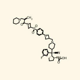 C=C(CN1CCCCC1)C(=O)N1CC(S(=O)(=O)c2ccc(N3CC(CN4CCC([C@@](C#N)(c5cccc(F)c5)[C@H]5CCC[C@@H]5NC(=O)O)CC4)C3)cc2)C1